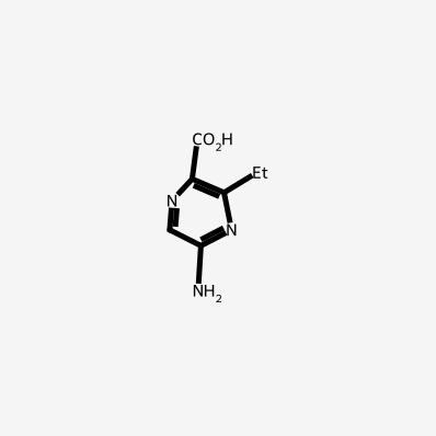 CCc1nc(N)cnc1C(=O)O